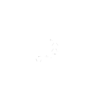 O=C(NCc1ccc(Cl)cc1)c1cnc2ccc(NCCO)cc2c1O